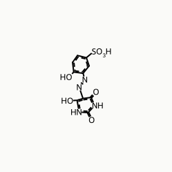 O=c1[nH]c(O)c(N=Nc2cc(S(=O)(=O)O)ccc2O)c(=O)[nH]1